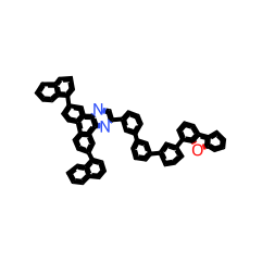 c1cc(-c2cccc(-c3cnc4c5cc(-c6cccc7ccccc67)ccc5c5ccc(-c6cccc7ccccc67)cc5c4n3)c2)cc(-c2cccc(-c3cccc4c3oc3ccccc34)c2)c1